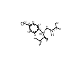 C=C(C(C)C)[C@H](CNC(C)C)c1ccc(Cl)cc1